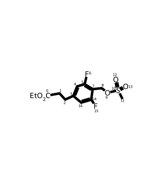 CCOC(=O)CCc1cc(F)c(COS(C)(=O)=O)c(F)c1